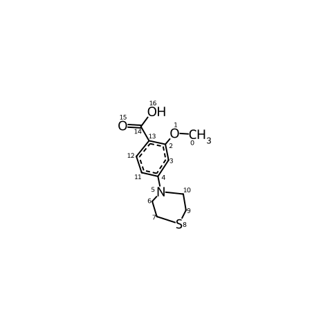 COc1cc(N2CCSCC2)ccc1C(=O)O